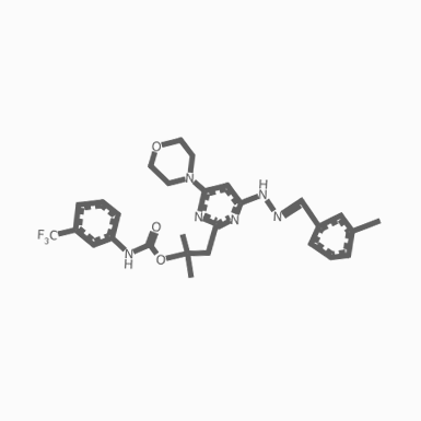 Cc1cccc(/C=N/Nc2cc(N3CCOCC3)nc(CC(C)(C)OC(=O)Nc3cccc(C(F)(F)F)c3)n2)c1